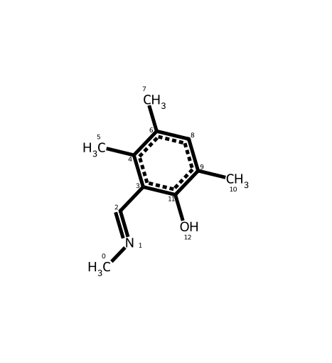 CN=Cc1c(C)c(C)cc(C)c1O